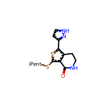 CCCC(C)Sc1sc(-c2cc[nH]n2)c2c1C(=O)NCC2